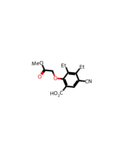 CCc1c(C#N)cc(C(=O)O)c(OCC(=O)OC)c1CC